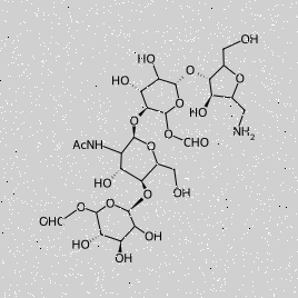 CC(=O)NC1[C@@H](O[C@@H]2C(OC=O)O[C@@H](O[C@@H]3C(CO)OC(CN)[C@H]3O)C(O)[C@H]2O)OC(CO)[C@@H](O[C@@H]2OC(OC=O)[C@@H](O)[C@H](O)C2O)[C@@H]1O